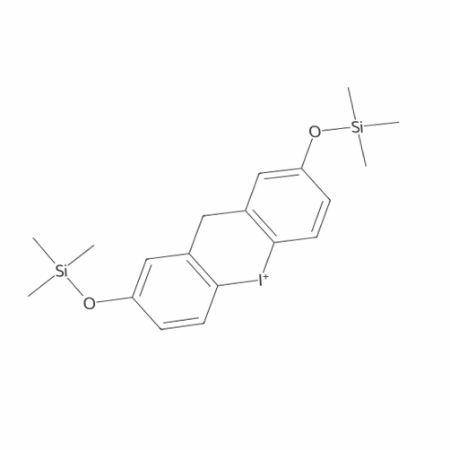 C[Si](C)(C)Oc1ccc2c(c1)Cc1cc(O[Si](C)(C)C)ccc1[I+]2